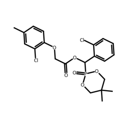 Cc1ccc(OCC(=O)OC(c2ccccc2Cl)P2(=O)OCC(C)(C)CO2)c(Cl)c1